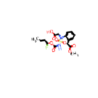 CCCC(F)OC(=O)NS(=O)(=O)N(CC(=O)O)c1ccccc1CC(=O)OC